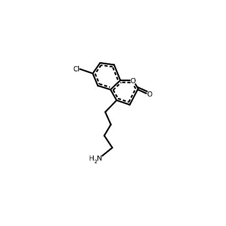 NCCCCc1cc(=O)oc2ccc(Cl)cc12